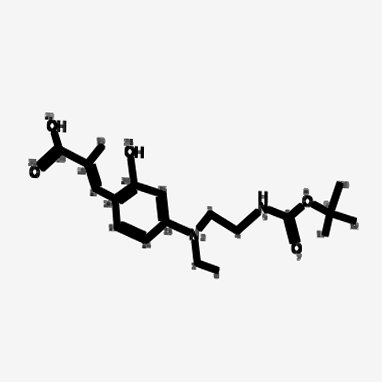 CCN(CCNC(=O)OC(C)(C)C)c1ccc(/C=C(\C)C(=O)O)c(O)c1